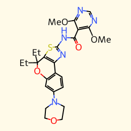 CCC1(CC)Oc2cc(N3CCOCC3)ccc2-c2nc(NC(=O)c3c(OC)ncnc3OC)sc21